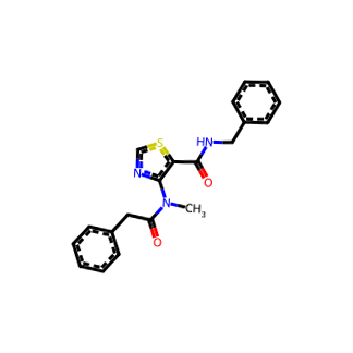 CN(C(=O)Cc1ccccc1)c1ncsc1C(=O)NCc1ccccc1